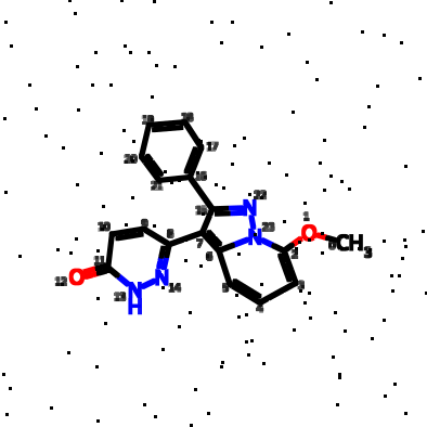 COc1cccc2c(-c3ccc(=O)[nH]n3)c(-c3ccccc3)nn12